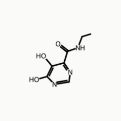 CCNC(=O)c1ncnc(O)c1O